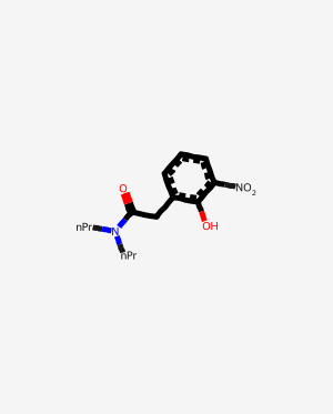 CCCN(CCC)C(=O)Cc1cccc([N+](=O)[O-])c1O